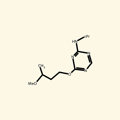 CCCNc1ncnc(OCCC(C)OC)n1